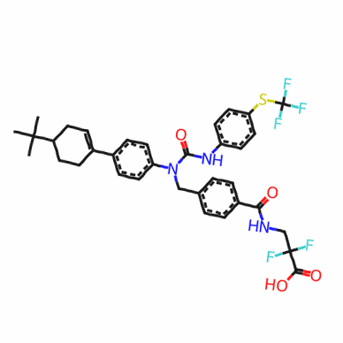 CC(C)(C)C1CC=C(c2ccc(N(Cc3ccc(C(=O)NCC(F)(F)C(=O)O)cc3)C(=O)Nc3ccc(SC(F)(F)F)cc3)cc2)CC1